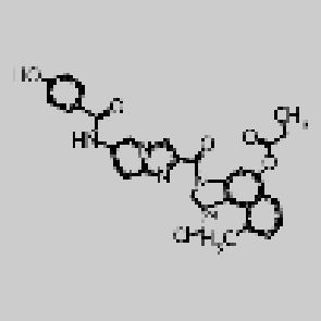 CCC(=O)Oc1cc2c(c3c(C)cccc13)[C@H](CCl)CN2C(=O)c1cn2cc(NC(=O)c3ccc(O)cc3)ccc2n1